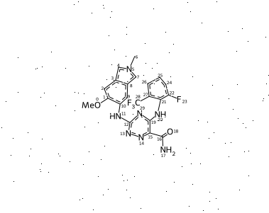 COc1cc2cn(C)cc2cc1Nc1nnc(C(N)=O)c(Nc2c(F)cccc2C(F)(F)F)n1